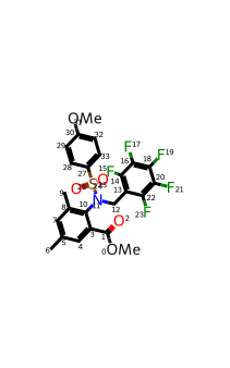 COC(=O)c1cc(C)cc(C)c1N(Cc1c(F)c(F)c(F)c(F)c1F)S(=O)(=O)c1ccc(OC)cc1